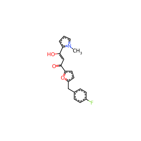 Cn1cccc1C(O)=CC(=O)c1ccc(Cc2ccc(F)cc2)o1